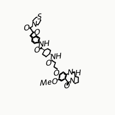 COc1cc2c(cc1OCCCC(=O)N[C@H]1CC[C@H](C(=O)Nc3ccc4cc(C(=O)N5CCSCC5)oc4c3)CC1)N=C[C@@H]1CCCN1C2=O